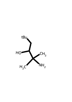 CC(C)(C)CC(O)C(C)(C)N